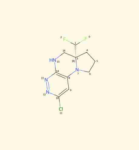 FC(F)[C@]12CCCN1c1cc(Cl)nnc1NC2